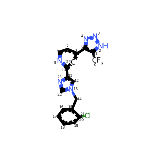 FC(F)(F)c1[nH]nnc1-c1ccnc(-c2cn(Cc3ccccc3Cl)cn2)c1